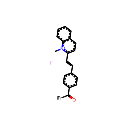 CC(C)C(=O)c1ccc(/C=C/c2ccc3ccccc3[n+]2C)cc1.[I-]